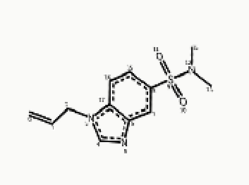 C=CCn1cnc2cc(S(=O)(=O)N(C)C)ccc21